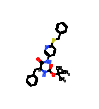 CC(C)(C)OC(=O)N[C@@H](Cc1ccccc1)C(=O)Nc1ccc(SCc2ccccc2)nc1